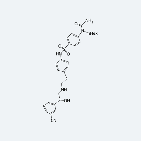 CCCCCCN(C(N)=O)c1ccc(S(=O)(=O)Nc2ccc(CCNCC(O)c3cccc(C#N)c3)cc2)cc1